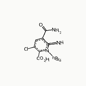 CCCCn1c(C(=O)O)c(Cl)cc(C(N)=O)c1=N